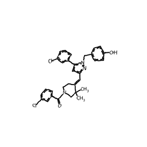 CC1(C)CN(C(=O)c2cccc(Cl)c2)CC/C1=C\c1cc(-c2cccc(Cl)c2)n(Cc2ccc(O)cc2)n1